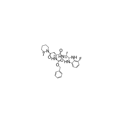 C[C@H](NC(=O)[C@H](CC(=O)N1CCCC[C@@H]1C)NC(=O)OCc1ccccc1)C1Nc2cccc(F)c2N1